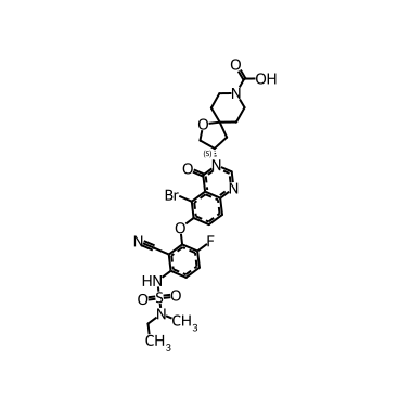 CCN(C)S(=O)(=O)Nc1ccc(F)c(Oc2ccc3ncn([C@@H]4COC5(CCN(C(=O)O)CC5)C4)c(=O)c3c2Br)c1C#N